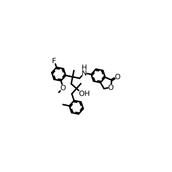 COc1ccc(F)cc1C(C)(CNc1ccc2c(c1)COC2=O)CC(C)(O)Cc1ccccc1C